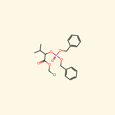 CC(C)C(OP(=O)(OCc1ccccc1)OCc1ccccc1)C(=O)OCCl